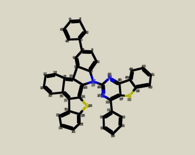 c1ccc(-c2ccc3c(c2)c2c4ccccc4c4c5ccccc5sc4c2n3-c2nc(-c3ccccc3)c3sc4ccccc4c3n2)cc1